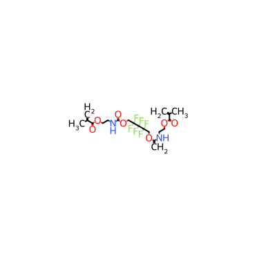 C=C(NCCOC(=O)C(=C)C)OCC(F)(F)C(F)(F)C(F)(F)COC(=O)NCCOC(=O)C(=C)C